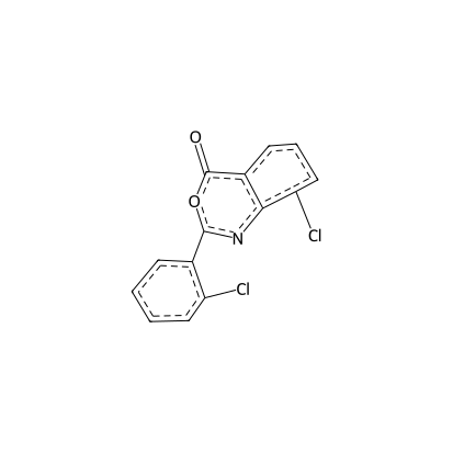 O=c1oc(-c2ccccc2Cl)nc2c(Cl)cccc12